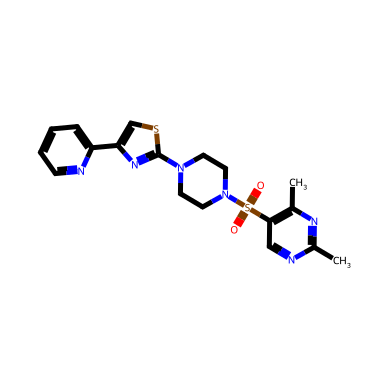 Cc1ncc(S(=O)(=O)N2CCN(c3nc(-c4ccccn4)cs3)CC2)c(C)n1